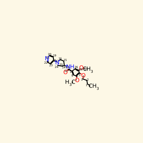 CCCCOc1c(OC)cc(C(=O)NC2CCN(c3ccncc3)CC2)cc1OC